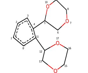 [c]1cccc(C2COCCO2)c1C1COCCO1